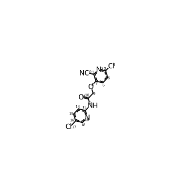 N#Cc1nc(Cl)ccc1OCC(=O)Nc1ccc(Cl)cn1